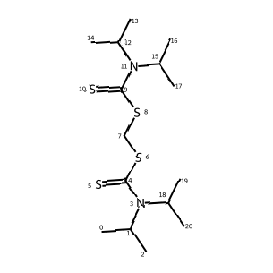 CC(C)N(C(=S)SCSC(=S)N(C(C)C)C(C)C)C(C)C